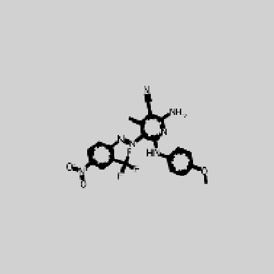 COc1ccc(Nc2nc(N)c(C#N)c(C)c2/N=N/c2ccc([N+](=O)[O-])cc2C(F)(F)F)cc1